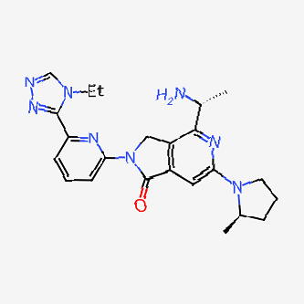 CCn1cnnc1-c1cccc(N2Cc3c(cc(N4CCC[C@H]4C)nc3[C@@H](C)N)C2=O)n1